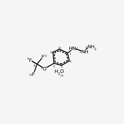 NNNc1ccc(OC(F)(F)F)cc1.O